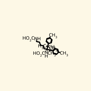 Cc1ccc(C(C)(C)C(CCCCCNC(=O)O)(NC(=O)O)C(C)(C)c2ccc(C)cc2)cc1